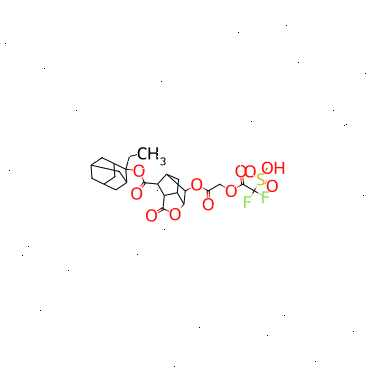 CCC1(OC(=O)C2C3CC4C(OC(=O)C42)C3OC(=O)COC(=O)C(F)(F)S(=O)(=O)O)C2CC3CC(C2)CC1C3